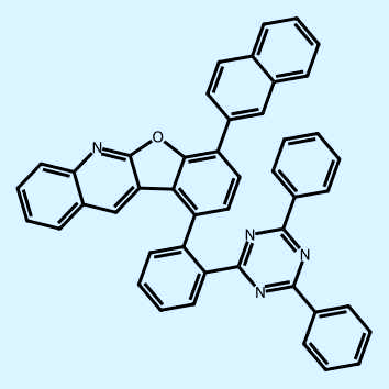 c1ccc(-c2nc(-c3ccccc3)nc(-c3ccccc3-c3ccc(-c4ccc5ccccc5c4)c4oc5nc6ccccc6cc5c34)n2)cc1